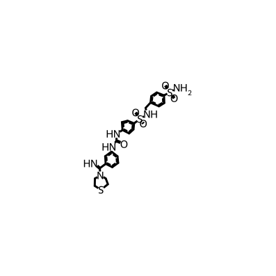 N=C(c1cccc(NC(=O)Nc2ccc(S(=O)(=O)NCc3ccc(S(N)(=O)=O)cc3)cc2)c1)N1CCSCC1